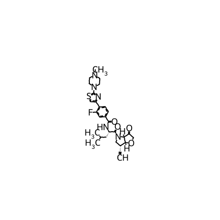 C#C[C@@H]1CN(C(=O)[C@H](CC(C)C)NC(=O)c2ccc(-c3csc(N4CCN(C)CC4)n3)c(F)c2)[C@@H]2C(=O)CO[C@H]12